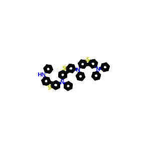 c1ccc(Nc2ccc3sc4ccc(N(c5ccccc5)c5ccc6sc7ccc(N(c8ccccc8)c8ccc9sc%10ccc(N(c%11ccccc%11)c%11ccccc%11)cc%10c9c8)cc7c6c5)cc4c3c2)cc1